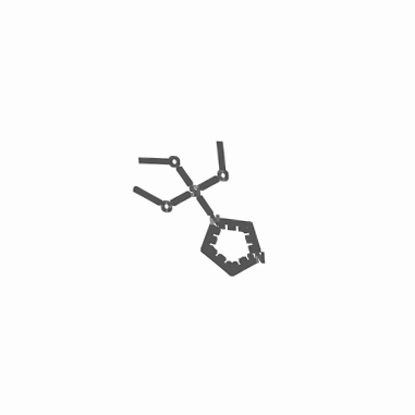 CO[Si](OC)(OC)n1ccnc1